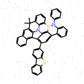 CC1(C)c2cccc3c2-n2c4c5c(cc(-c6ccc7c(c6)sc6ccccc67)c4c4c6ccccc6cc1c42)-c1ccccc1N(c1ccccc1)B35